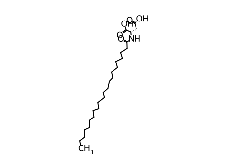 CCCCCCCCCCCCCCCCCCCCCC(=O)N[C@@H](CC(=O)O)C(=O)O